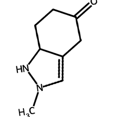 CN1C=C2CC(=O)CCC2N1